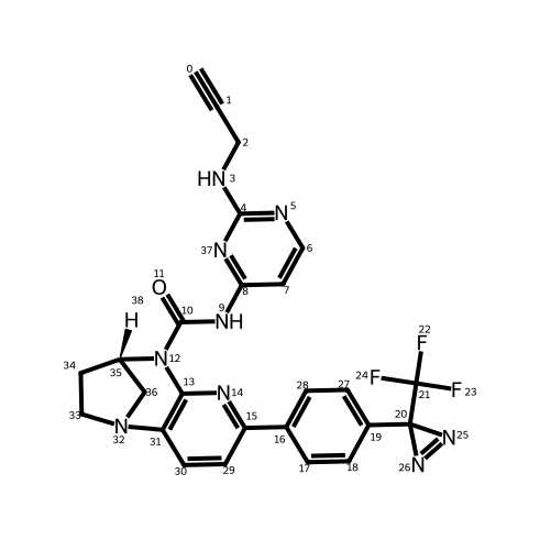 C#CCNc1nccc(NC(=O)N2c3nc(-c4ccc(C5(C(F)(F)F)N=N5)cc4)ccc3N3CC[C@H]2C3)n1